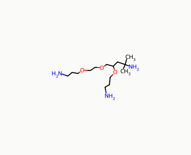 CC(C)(N)CC(COCCOCCCN)OCCCN